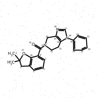 CC1(C)Cc2cccc(C(=O)N3CCc4c(ncn4-c4ccccc4)C3)c2O1